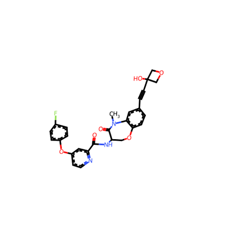 CN1C(=O)C(NC(=O)c2cc(Oc3ccc(F)cc3)ccn2)COc2ccc(C#CC3(O)COC3)cc21